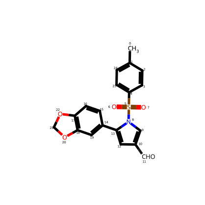 Cc1ccc(S(=O)(=O)n2cc(C=O)cc2-c2ccc3c(c2)OCO3)cc1